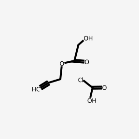 C#CCOC(=O)CO.O=C(O)Cl